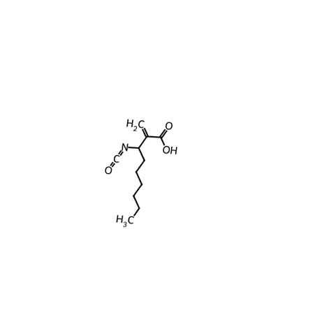 C=C(C(=O)O)C(CCCCCC)N=C=O